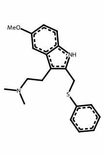 COc1ccc2[nH]c(CSc3ccccc3)c(CCN(C)C)c2c1